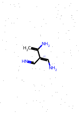 C=C(N)/C(C=N)=C/N